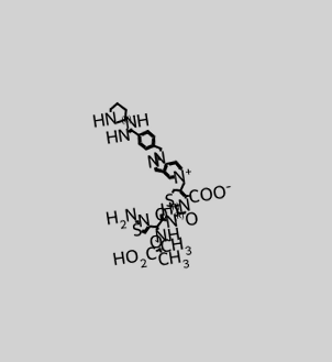 CC(C)(ON=C(C(=O)N[C@@H]1C(=O)N2C(C(=O)[O-])=C(C[n+]3ccc4c(cnn4Cc4ccc(C(=N)N[C@@H]5CCCNC5)cc4)c3)CS[C@H]12)c1csc(N)n1)C(=O)O